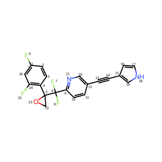 Fc1ccc(C2(C(F)(F)c3ccc(C#Cc4cc[nH]c4)cn3)CO2)c(F)c1